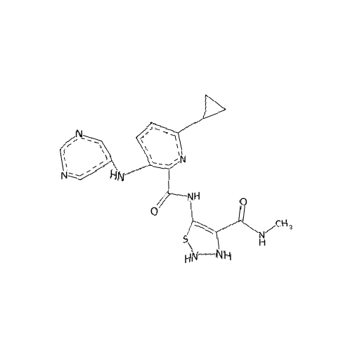 CNC(=O)C1=C(NC(=O)c2nc(C3CC3)ccc2Nc2cncnc2)SNN1